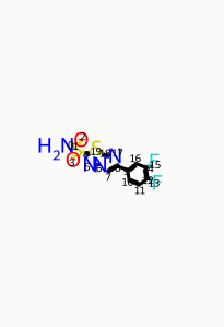 NS(=O)(=O)c1nn2cc(-c3ccc(F)c(F)c3)nc2s1